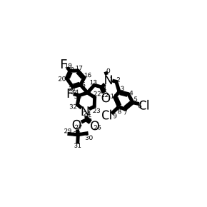 CN(Cc1cc(Cl)cc(Cl)c1)C(=O)CC1(c2ccc(F)cc2)CCN(C(=O)OC(C)(C)C)CC1F